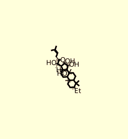 CC[C@H]1CC[C@@]2(C)C(CC[C@]3(C)C2CC[C@@H]2C4[C@@](C)(O)[C@@H](CC=C(C)C)O[C@@]4(O)[C@H](O)[C@]23O)C1(C)C